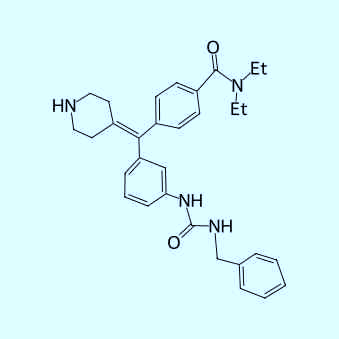 CCN(CC)C(=O)c1ccc(C(=C2CCNCC2)c2cccc(NC(=O)NCc3ccccc3)c2)cc1